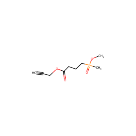 C#CCOC(=O)CCCP(C)(=O)OC